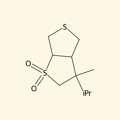 CC(C)C1(C)CS(=O)(=O)C2CSCC21